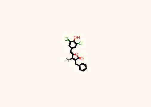 CC(C)C1=C(Cc2ccccc2)C(=O)O/C1=C\c1cc(Cl)c(O)c(Cl)c1